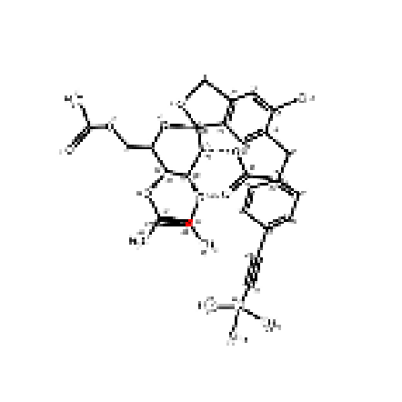 CC(=O)OCC1O[C@]2(OCc3cc(Cl)c(Cc4ccc(C#C[Si](C)(C)C)cc4)cc32)[C@H](OC(C)=O)[C@@H](OC(C)=O)[C@H]1OC(C)=O